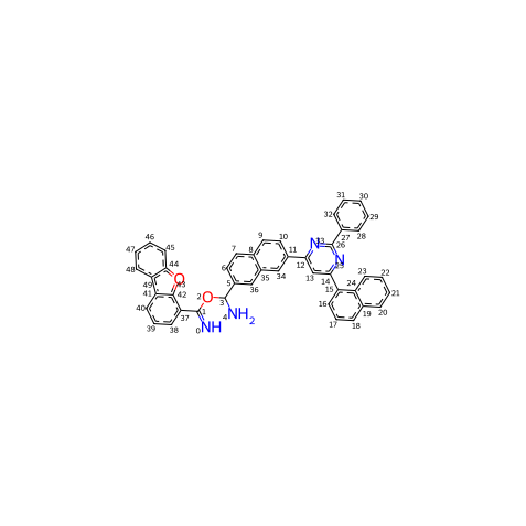 N=C(OC(N)c1ccc2ccc(-c3cc(-c4cccc5ccccc45)nc(-c4ccccc4)n3)cc2c1)c1cccc2c1oc1ccccc12